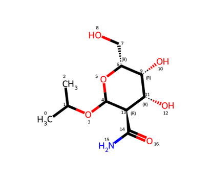 CC(C)OC1O[C@H](CO)[C@H](O)[C@H](O)[C@H]1C(N)=O